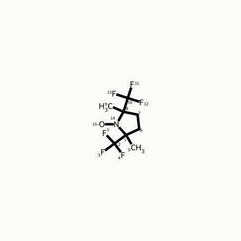 CC1(C(F)(F)F)CCC(C)(C(F)(F)F)N1[O]